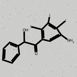 Nc1cc(C(=O)C(O)c2ccccc2)c(I)c(I)c1I